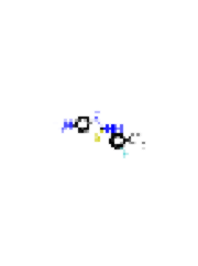 Nc1ccc(NC(=S)Nc2ccc(F)c(C(F)(F)F)c2)cc1